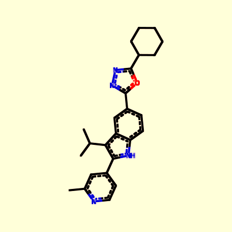 Cc1cc(-c2[nH]c3ccc(-c4nnc(C5CCCCC5)o4)cc3c2C(C)C)ccn1